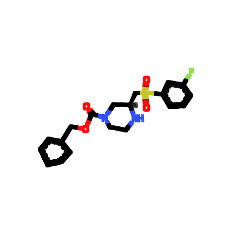 O=C(OCc1ccccc1)N1CCN[C@H](CS(=O)(=O)c2cccc(F)c2)C1